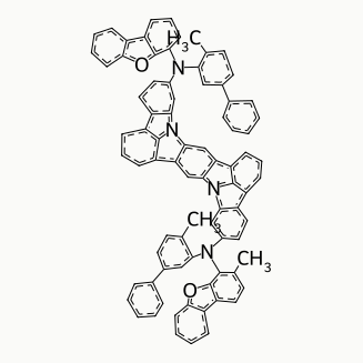 Cc1ccc(-c2ccccc2)cc1N(c1ccc2c3cccc4c5cc6c(cc5n(c2c1)c34)c1cccc2c3ccc(N(c4cc(-c5ccccc5)ccc4C)c4c(C)ccc5c4oc4ccccc45)cc3n6c21)c1cccc2c1oc1ccccc12